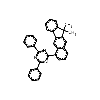 CC1(C)c2ccccc2-c2cc3c(-c4nc(-c5ccccc5)nc(-c5ccccc5)n4)cccc3cc21